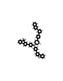 C[C@H]1C=C(c2ccc(-c3cccc(-c4ccc5ccccc5c4)c3)cc2)C=CC(N(c2ccc(-c3ccc4c(c3)C(C)(C)c3ccccc3-4)cc2)c2ccc(-c3ccc4oc5ccccc5c4c3)cc2)=C1